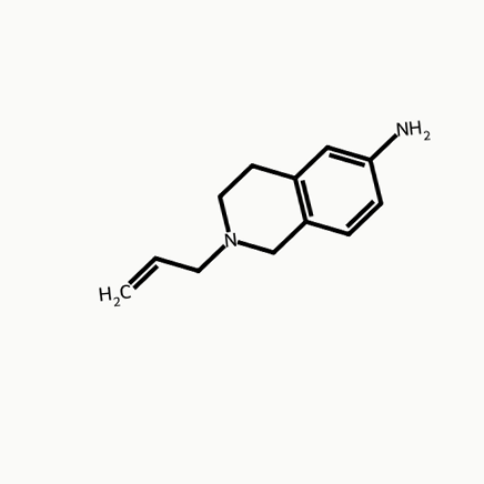 C=CCN1CCc2cc(N)ccc2C1